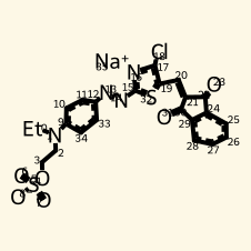 CCN(CCOS(=O)(=O)[O-])c1ccc(/N=N/c2nc(Cl)c(C=C3C(=O)c4ccccc4C3=O)s2)cc1.[Na+]